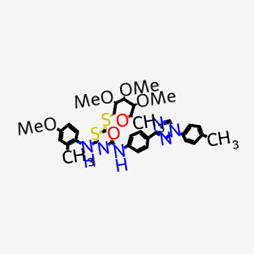 COc1ccc(N/C(=N/C(=O)Nc2ccc(-c3ncn(-c4ccc(C)cc4)n3)cc2)SCS[C@@H]2O[C@@H](C)[C@H](OC)[C@@H](OC)[C@H]2OC)c(C)c1